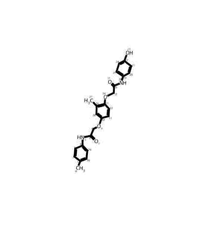 Cc1ccc(NC(=O)COc2ccc(OCC(=O)Nc3ccc(O)cc3)c(C)c2)cc1